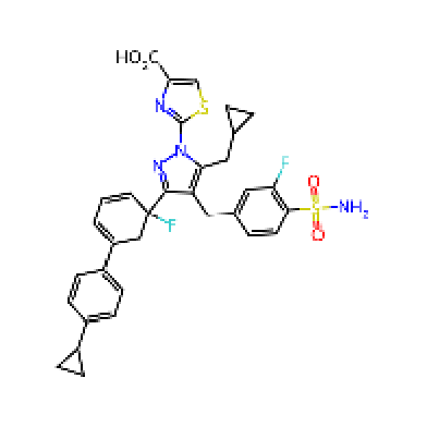 NS(=O)(=O)c1ccc(Cc2c(C3(F)C=CC=C(c4ccc(C5CC5)cc4)C3)nn(-c3nc(C(=O)O)cs3)c2CC2CC2)cc1F